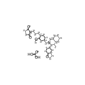 CCC(c1ccc2c(c1)CCO2)N(Cc1ccc(CCCN2C(=O)CCC2=O)c(OC)c1)CC1CCCCC1.O=C(O)O